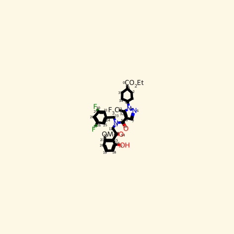 CCOC(=O)C1CCC(n2ncc(C(=O)N(CC(=O)c3c(O)cccc3OC)Cc3cc(F)cc(F)c3)c2C(F)(F)F)CC1